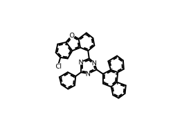 Clc1ccc2oc3cccc(-c4nc(-c5ccccc5)nc(-c5cc6ccccc6c6ccccc56)n4)c3c2c1